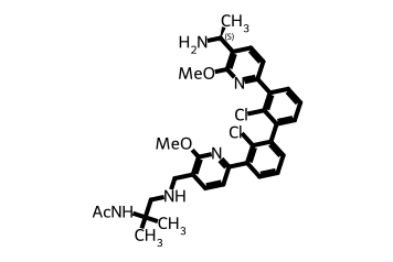 COc1nc(-c2cccc(-c3cccc(-c4ccc([C@H](C)N)c(OC)n4)c3Cl)c2Cl)ccc1CNCC(C)(C)NC(C)=O